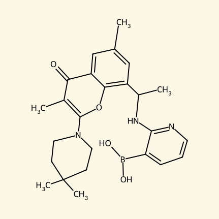 Cc1cc(C(C)Nc2ncccc2B(O)O)c2oc(N3CCC(C)(C)CC3)c(C)c(=O)c2c1